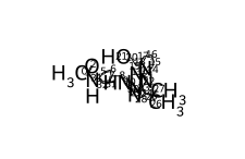 CC(=O)Nc1ccc(CNc2nc(N3CCCC[C@H]3CCO)nc3c(C(C)C)cnn23)cc1